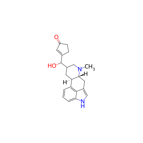 CN1CC(C(O)C2=CC(=O)CC2)C[C@@H]2c3cccc4[nH]cc(c34)C[C@H]21